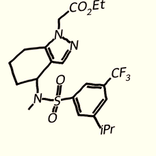 CCOC(=O)Cn1ncc2c1CCCC2N(C)S(=O)(=O)c1cc(C(C)C)cc(C(F)(F)F)c1